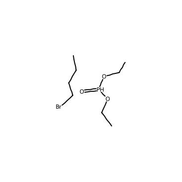 CCCCBr.CCO[PH](=O)OCC